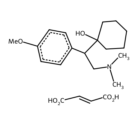 COc1ccc(C(CN(C)C)C2(O)CCCCC2)cc1.O=C(O)C=CC(=O)O